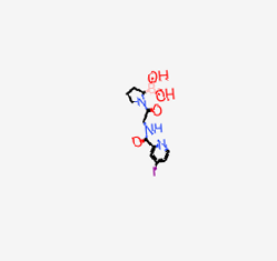 O=C(NCC(=O)N1CCCC1B(O)O)c1cc(I)ccn1